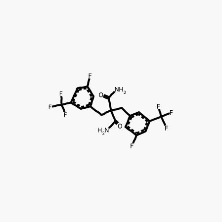 NC(=O)C(Cc1cc(F)cc(C(F)(F)F)c1)(Cc1cc(F)cc(C(F)(F)F)c1)C(N)=O